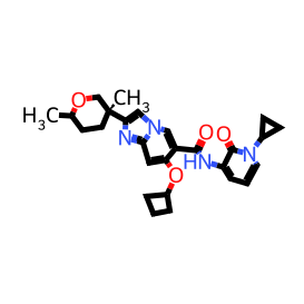 CC1CC[C@](C)(c2cn3cc(C(=O)Nc4cccn(C5CC5)c4=O)c(OC4CCC4)cc3n2)CO1